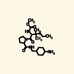 CCSC(C)(C)C(NC(=O)OC)C(=O)N1CCCC1C(=O)NCC1CCC(N)CC1